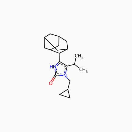 CC(C)c1c(C2C3CC4CC(C3)CC2C4)[nH]c(=O)n1CC1CC1